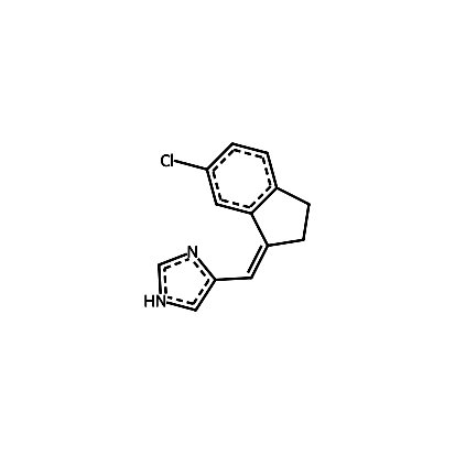 Clc1ccc2c(c1)/C(=C\c1c[nH]cn1)CC2